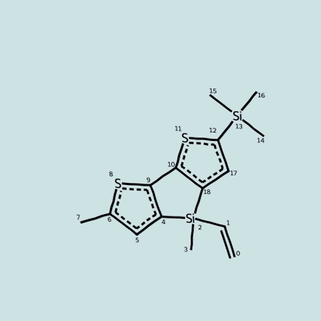 C=C[Si]1(C)c2cc(C)sc2-c2sc([Si](C)(C)C)cc21